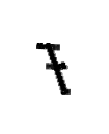 C=C(C)C(=O)O.COC(O)CCCCCCCCCCCCCCCCCCCCCCO